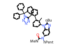 CCCCCN(C(=O)NC)c1ccc2nc(CCCC)n(-c3cccc(-c4ccccc4-c4nnnn4C(c4ccccc4)(c4ccccc4)c4ccccc4)c3C)c2c1